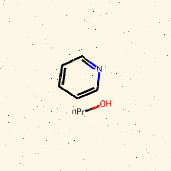 CCCO.c1ccncc1